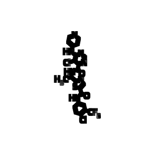 CC(NC(=O)c1ncnc(Nc2ccncc2)c1Cl)c1ncc(C(=O)Nc2ccc(Cl)c(C(F)(F)F)c2)s1